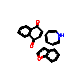 C1=CC=CNC=C1.O=C1C=CC(=O)c2ccccc21.c1ccc2occc2c1